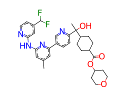 Cc1cc(Nc2cc(C(F)F)ccn2)nc(-c2ccc(C(C)(O)C3CCC(C(=O)OC4CCOCC4)CC3)nc2)c1